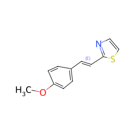 COc1ccc(/C=C/c2nccs2)cc1